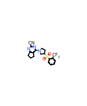 N#Cc1nc2c(c(N3CCC(S(=O)(=O)c4ccccc4C(F)(F)F)C3)n1)CCC2